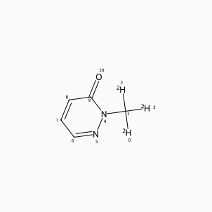 [2H]C([2H])([2H])n1ncccc1=O